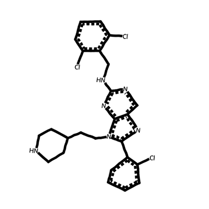 Clc1ccccc1-c1nc2cnc(NCc3c(Cl)cccc3Cl)nc2n1CCC1CCNCC1